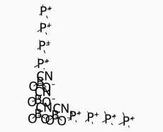 C[P+](C)(C)C.C[P+](C)(C)C.C[P+](C)(C)C.C[P+](C)(C)C.C[P+](C)(C)C.C[P+](C)(C)C.C[P+](C)(C)C.C[P+](C)(C)C.N#CB([O-])[O-].N#CB([O-])[O-].N#CB([O-])[O-].N#CB([O-])[O-]